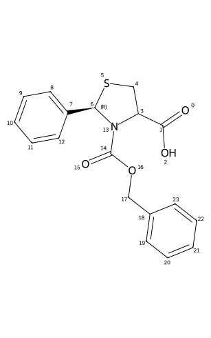 O=C(O)C1CS[C@H](c2ccccc2)N1C(=O)OCc1ccccc1